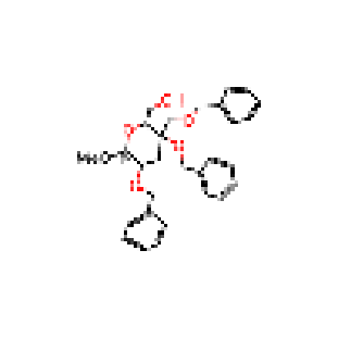 CO[C@H]1OC(CO)C(COCc2ccccc2)(OCc2ccccc2)CC1OCc1ccccc1